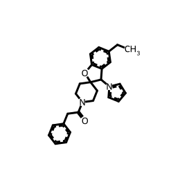 CCc1ccc2c(c1)C(n1cccc1)C1(CCN(C(=O)Cc3ccccc3)CC1)O2